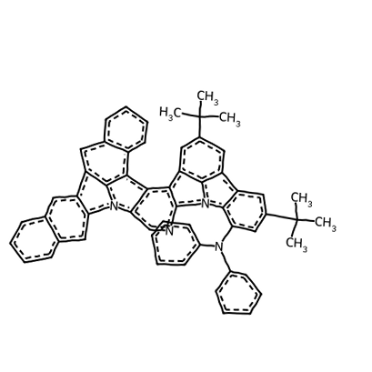 CC(C)(C)c1cc(N(c2ccccc2)c2ccccc2)c2c(c1)c1cc(C(C)(C)C)cc3c4c5c6c7ccccc7cc7c8cc9ccccc9cc8n(c5cnc4n2c13)c76